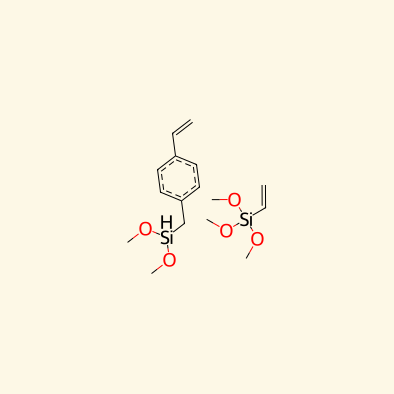 C=C[Si](OC)(OC)OC.C=Cc1ccc(C[SiH](OC)OC)cc1